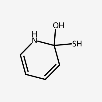 OC1(S)C=CC=CN1